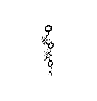 CC1(Cc2ccnc(NS(=O)(=O)NCc3ccccc3)c2)NC(=O)N(c2ccc(OC(F)(F)F)cc2)C1=O